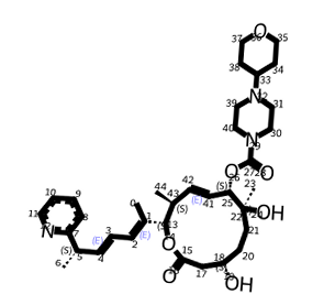 C/C(=C\C=C\[C@H](C)c1ccccn1)[C@H]1OC(=O)C[C@@H](O)CC[C@](C)(O)[C@@H](OC(=O)N2CCN(C3CCOCC3)CC2)/C=C/[C@@H]1C